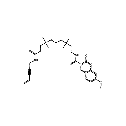 C=CC#CCNC(=O)CCC(C)(C)OCCC(C)(C)CCNC(=O)c1cc2ccc(OC)cc2oc1=O